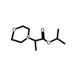 CC(C)OC(=O)C(C)N1CCOCC1